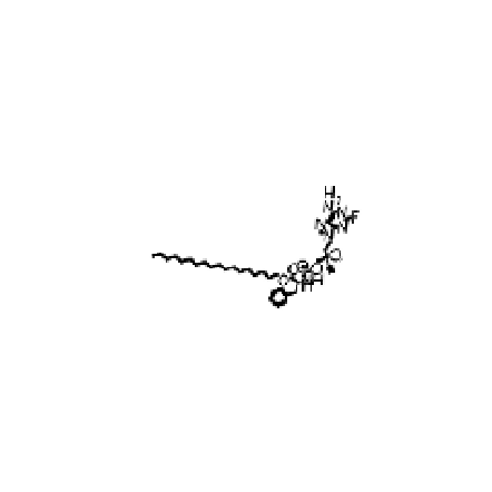 C#C[C@](CCn1cnc2c(N)nc(F)nc21)(CO[PH](=O)N[C@@H](Cc1ccccc1)C(=O)OCCCCCCCCCCCCCCCCCC)OC